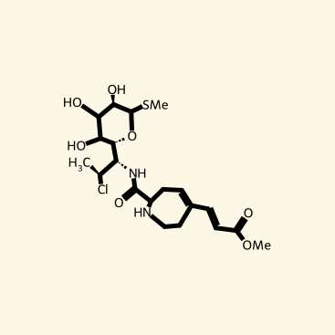 COC(=O)/C=C/C1=CCC(C(=O)N[C@H]([C@H](C)Cl)[C@H]2OC(SC)[C@H](O)C(O)C2O)NCC1